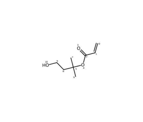 C=CC(=O)OC(C)(C)CCO